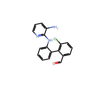 Nc1cccnc1Nc1ccccc1-c1c(Cl)cccc1C=O